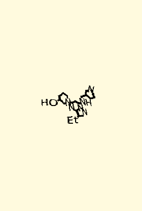 CCc1cnn2c(NCc3cccnc3)cc(N3CCCC(O)C3)nc12